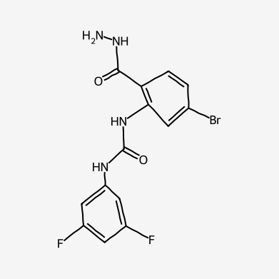 NNC(=O)c1ccc(Br)cc1NC(=O)Nc1cc(F)cc(F)c1